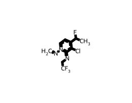 C=Nn1ccc(C(C)F)c(Cl)/c1=N/CC(F)(F)F